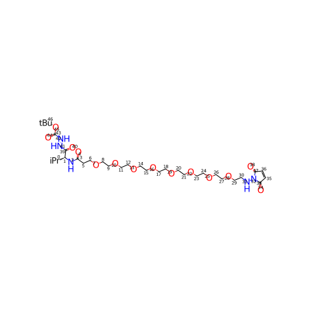 CC(C)[C@H](NC(=O)CCOCCOCCOCCOCCOCCOCCOCCOCCNN1C(=O)C=CC1=O)C(=O)NNC(=O)OC(C)(C)C